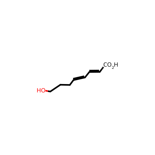 O=C(O)C=CC=CCCCO